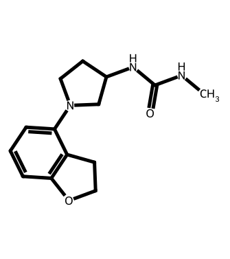 CNC(=O)NC1CCN(c2cccc3c2CCO3)C1